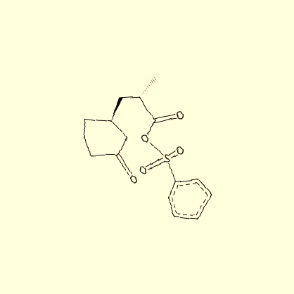 C[C@@H](C[C@@H]1CCCC(=O)C1)C(=O)OS(=O)(=O)c1ccccc1